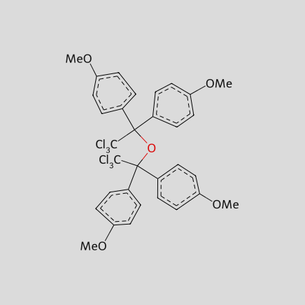 COc1ccc(C(OC(c2ccc(OC)cc2)(c2ccc(OC)cc2)C(Cl)(Cl)Cl)(c2ccc(OC)cc2)C(Cl)(Cl)Cl)cc1